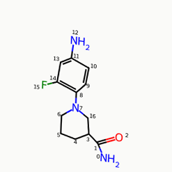 NC(=O)C1CCCN(c2ccc(N)cc2F)C1